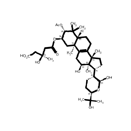 CC(=O)O[C@H]1[C@H](OC(=O)C[C@@](C)(O)CC(=O)O)C[C@]2(C)C3=C(CC[C@H]2C1(C)C)[C@]1(C)CC[C@H]([C@H]2CC[C@H](C(C)(C)O)O[C@@H]2O)[C@@]1(C)[C@@H](O)C3